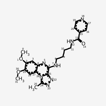 COc1cc2nc(NCCCCNC(=O)c3ccncc3)c3nnc(C)n3c2cc1OC